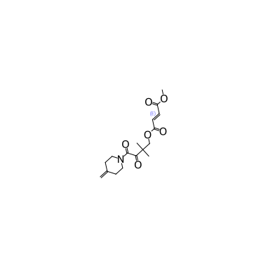 C=C1CCN(C(=O)C(=O)C(C)(C)COC(=O)/C=C/C(=O)OC)CC1